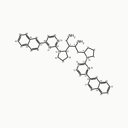 NCC(C(N)CC1CCCN1c1nccc(-c2ccc3ccccc3c2)n1)C1CCCN1c1nccc(-c2ccc3ccccc3c2)n1